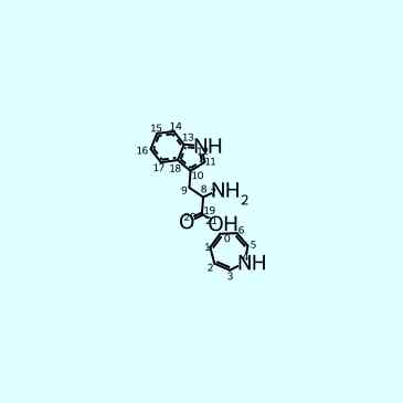 C1=CC=CNC=C1.NC(Cc1c[nH]c2ccccc12)C(=O)O